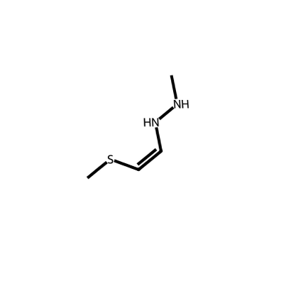 CNN/C=C\SC